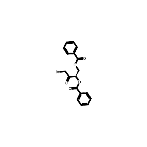 O=C(OC[C@@H](OC(=O)c1ccccc1)C(=O)CBr)c1ccccc1